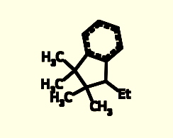 CCC1c2ccccc2C(C)(C)C1(C)C